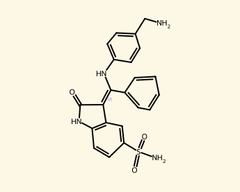 NCc1ccc(N/C(=C2\C(=O)Nc3ccc(S(N)(=O)=O)cc32)c2ccccc2)cc1